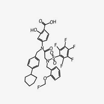 O=C(O)c1ccc(N(Cc2ccc(C3CCCCC3)cc2)C(=O)CN(Cc2ccccc2OCF)S(=O)(=O)c2c(F)c(F)c(F)c(F)c2F)cc1O